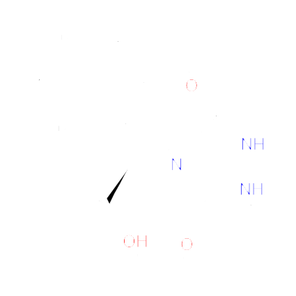 O=c1[nH][nH]c(=O)n1[C@@H](CO)c1ccccc1